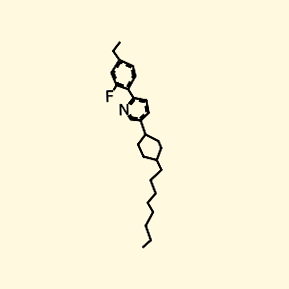 CCCCCCCCC1CCC(c2ccc(-c3ccc(CC)cc3F)nc2)CC1